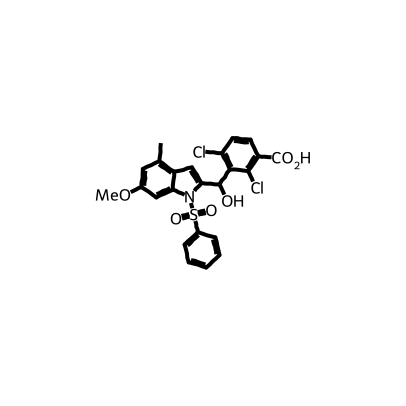 COc1cc(C)c2cc(C(O)c3c(Cl)ccc(C(=O)O)c3Cl)n(S(=O)(=O)c3ccccc3)c2c1